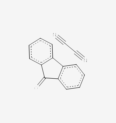 N#CC#N.O=C1c2ccccc2-c2ccccc21